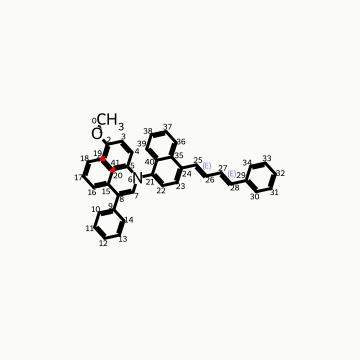 COc1ccc(N(C=C(c2ccccc2)c2ccccc2)c2ccc(/C=C/C=C/c3ccccc3)c3ccccc23)cc1